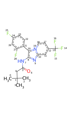 CC(C)(C)CC(=O)Nc1nc2cc(C(F)(F)F)ccn2c1-c1ccc(F)cc1F